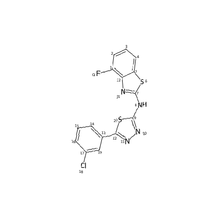 Fc1cccc2sc(Nc3nnc(-c4cccc(Cl)c4)s3)nc12